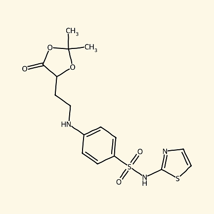 CC1(C)OC(=O)C(CCNc2ccc(S(=O)(=O)Nc3nccs3)cc2)O1